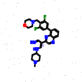 CN1CCC(N/C=C(\C=N)c2cnc3cccc(-c4cc(F)c(CN5CCOCC5)c(F)c4)c3n2)CC1